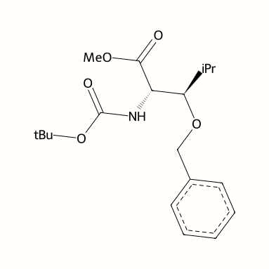 COC(=O)[C@@H](NC(=O)OC(C)(C)C)[C@H](OCc1ccccc1)C(C)C